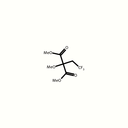 COC(=O)C(CC(F)(F)F)(OC)C(=O)OC